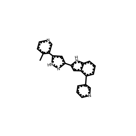 Cc1ccncc1-c1cc(-c2cc3c(-c4cccnc4)cccc3[nH]2)n[nH]1